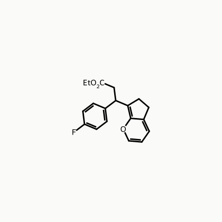 CCOC(=O)CC(C1=C2OC=CC=C2CC1)c1ccc(F)cc1